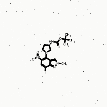 Cn1cc2c(N3CC[C@@H](NC(=O)OC(C)(C)C)C3)c([N+](=O)[O-])cc(I)c2n1